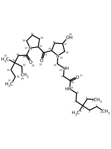 CCCC(C)(CC)CCNC(=O)CNCN1CC(O)CC1C(=O)C1CCCN1C(=O)CC(C)(CC)CCC